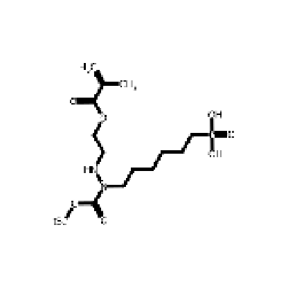 C=C(C)C(=O)OCCNN(CCCCCCP(=O)(O)O)C(=O)OC(C)(C)C